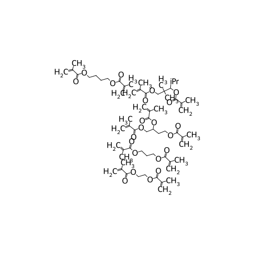 C=C(C)C(=O)OCC(C)(C)C(OC(=O)C(=C)C)C(C)C.C=C(C)C(=O)OCCC(COC(=O)C(=C)C)OC(=O)C(=C)C.C=C(C)C(=O)OCCCCOC(=O)C(=C)C.C=C(C)C(=O)OCCCOC(=O)C(=C)C.C=C(C)C(=O)OCCOC(=O)C(=C)C